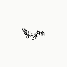 Cn1ccc(-c2cccc(-c3csc(NC(=O)CNC(=O)c4ccn(C5(C)COC5)c4)n3)n2)n1